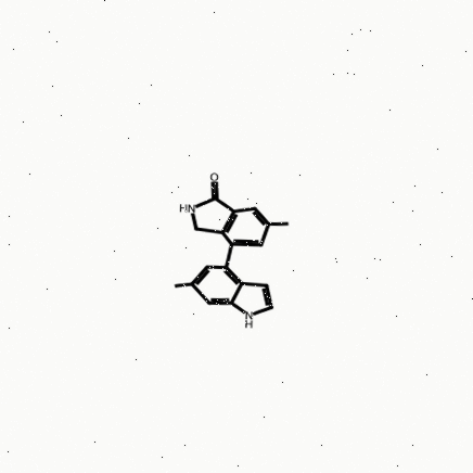 Cc1cc2c(c(-c3cc(C)cc4[nH]ccc34)c1)CNC2=O